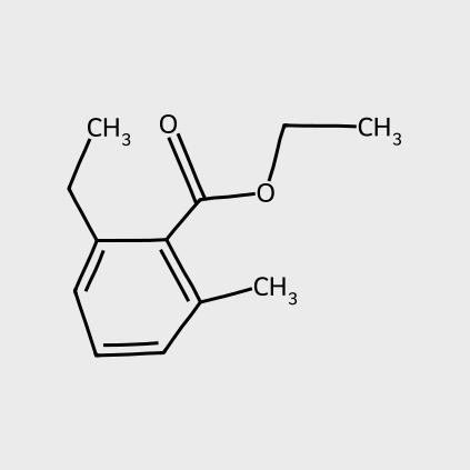 CCOC(=O)c1c(C)cccc1CC